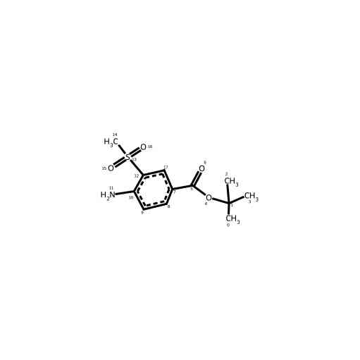 CC(C)(C)OC(=O)c1ccc(N)c(S(C)(=O)=O)c1